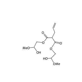 C=CCC(C(=O)OCC(O)OC)C(=O)OCC(O)OC